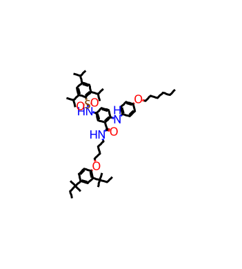 CCCCCCOc1ccc(Nc2ccc(NS(=O)(=O)c3c(C(C)C)cc(C(C)C)cc3C(C)C)cc2C(=O)NCCCCOc2ccc(C(C)(C)CC)cc2C(C)(C)CC)cc1